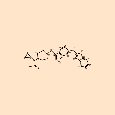 CC(=O)N(C1CC1)C1CCN(Cc2coc3cc(Oc4nc5ncccc5s4)ccc23)CC1